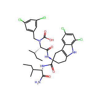 CCC(C)[C@H](NC(=O)[C@@]1(NC(=O)[C@H](C(C)CC)N(Cc2cc(Cl)cc(Cl)c2)C(=O)O)CCc2[nH]c3c(Cl)cc(Cl)cc3c2C1)C(N)=O